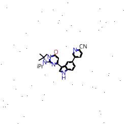 CC(C)N1c2nc(-c3c[nH]c4ccc(-c5ccc(C#N)nc5)cc34)cc(=O)n2CC1(C)C